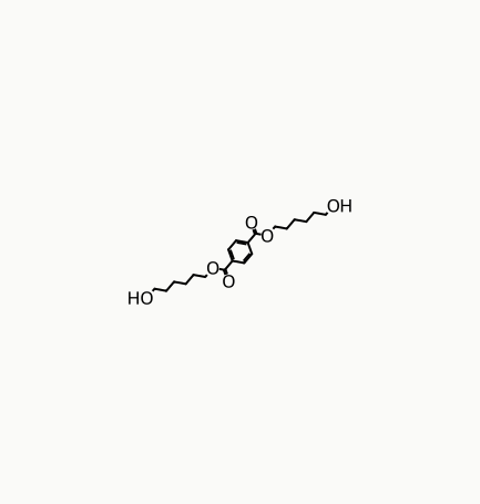 O=C(OCCCCCCO)c1ccc(C(=O)OCCCCCCO)cc1